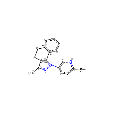 COc1ccc(-n2nc(C=O)c3c2-c2ccccc2CC3)cn1